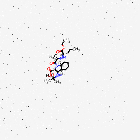 CCC[C@H](N[C@@H](C)C(=O)N1[C@H](C(=O)O)C(NC(C)(C)C)[C@@H]2CCCC[C@@H]21)C(=O)OCC